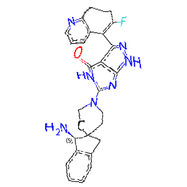 N[C@@H]1c2ccccc2CC12CCN(c1nc3[nH]nc(C4=C(F)CCc5ncccc54)c3c(=O)[nH]1)CC2